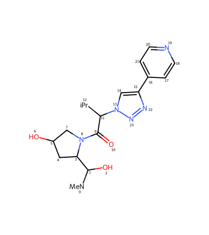 CNC(O)C1CC(O)CN1C(=O)C(C(C)C)n1cc(-c2ccncc2)nn1